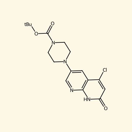 CC(C)(C)OC(=O)N1CCN(c2cnc3[nH]c(=O)cc(Cl)c3c2)CC1